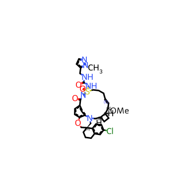 CO[C@H]1/C=C/CCCS(=O)(NC(=O)NCc2ccnn2C)=NC(=O)c2ccc3c(c2)N(C[C@@H]2CC[C@H]21)C[C@@]1(CCCc2cc(Cl)ccc21)CO3